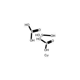 O=S(=O)(O)O.O=S(O)O.O=S(O)O.[Cu]